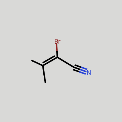 CC(C)=C(Br)C#N